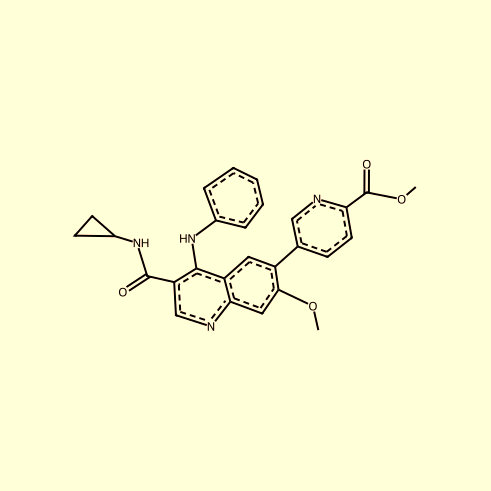 COC(=O)c1ccc(-c2cc3c(Nc4ccccc4)c(C(=O)NC4CC4)cnc3cc2OC)cn1